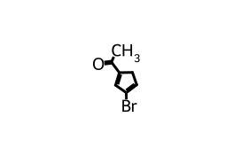 CC(=O)C1=CC(Br)=CC1